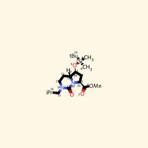 COC(=O)[C@@H]1C[C@@H](O[Si](C)(C)C(C)(C)C)[C@H]2CCN(CC(C)C)C(=O)N21